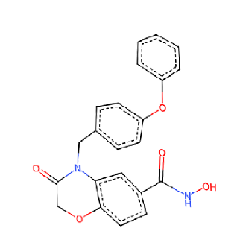 O=C(NO)c1ccc2c(c1)N(Cc1ccc(Oc3ccccc3)cc1)C(=O)CO2